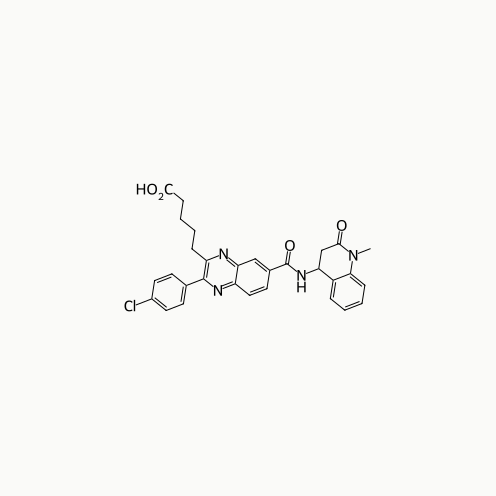 CN1C(=O)CC(NC(=O)c2ccc3nc(-c4ccc(Cl)cc4)c(CCCCC(=O)O)nc3c2)c2ccccc21